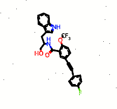 O=C(NC(CO)Cc1c[nH]c2ccccc12)c1cc(C#Cc2ccc(F)cc2)ccc1OC(F)(F)F